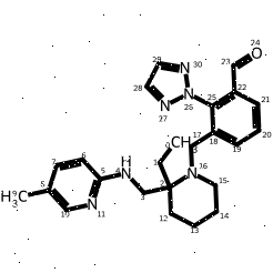 CCC1(CNc2ccc(C)cn2)CCCCN1Cc1cccc(C=O)c1-n1nccn1